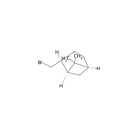 CC1(C)[C@H]2CC[C@H](CBr)[C@@H]1C2